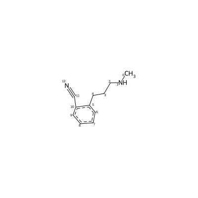 CNCCCc1ccccc1C#N